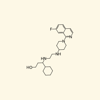 OCCC(NCCNC1CCN(c2nccc3ccc(F)cc23)CC1)C1CCCCC1